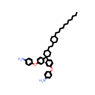 CCCCCCCCCCCC1CCC(CCC2CCC(c3ccc(Oc4ccc(N)cc4)cc3)(c3ccc(Oc4ccc(N)cc4)cc3)CC2)CC1